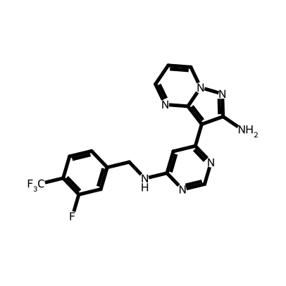 Nc1nn2cccnc2c1-c1cc(NCc2ccc(C(F)(F)F)c(F)c2)ncn1